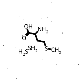 CSCCC(N)C(=O)O.S.S